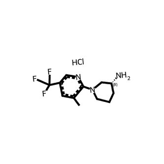 Cc1cc(C(F)(F)F)cnc1N1CCC[C@@H](N)C1.Cl